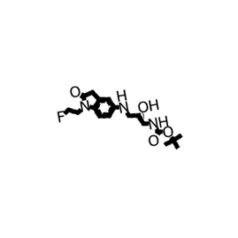 CC(C)(C)OC(=O)NC[C@@H](O)CNc1ccc2c(c1)CC(=O)N2CCF